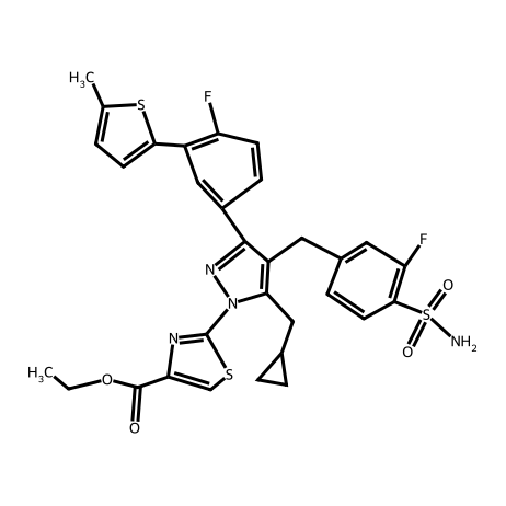 CCOC(=O)c1csc(-n2nc(-c3ccc(F)c(-c4ccc(C)s4)c3)c(Cc3ccc(S(N)(=O)=O)c(F)c3)c2CC2CC2)n1